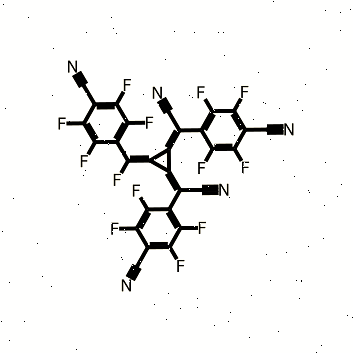 N#C/C(=C1\C(=C(F)c2c(F)c(F)c(C#N)c(F)c2F)\C1=C(\C#N)c1c(F)c(F)c(C#N)c(F)c1F)c1c(F)c(F)c(C#N)c(F)c1F